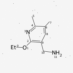 CCOc1nc(C)c(C)cc1CN